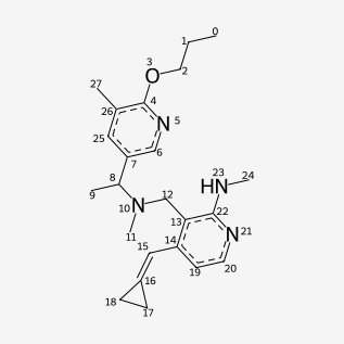 CCCOc1ncc(C(C)N(C)Cc2c(C=C3CC3)ccnc2NC)cc1C